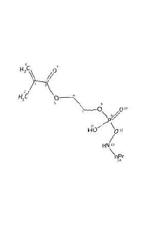 C=C(C)C(=O)OCCOP(=O)(O)ONCCC